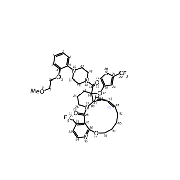 COCCOc1ccccc1N1CCN(C(=O)C2(Oc3csc(C(F)(F)F)c3)CCCN3C(=O)c4c(C(F)(F)F)ccnc4OCCCC/C=C\C[C@@H]32)CC1